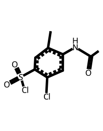 CC(=O)Nc1cc(Cl)c(S(=O)(=O)Cl)cc1C